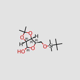 CC1(C)O[C@@H]2[C@H](O1)[C@@H](CO[Si](C)(C)C(C)(C)C)O[C@H]2O